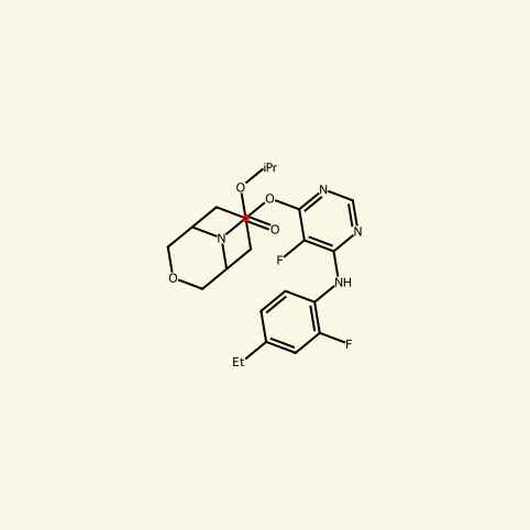 CCc1ccc(Nc2ncnc(OC3CC4COCC(C3)N4C(=O)OC(C)C)c2F)c(F)c1